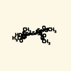 CCCc1c(OCCCSCC2CSC(CCC(=O)OCC)(CCC(=O)OCC)S2)ccc(C(C)=O)c1O